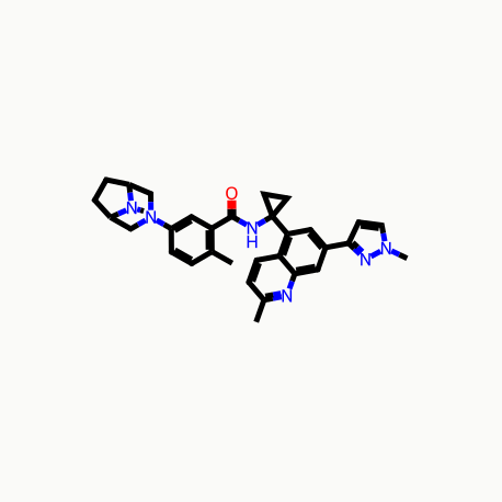 Cc1ccc2c(C3(NC(=O)c4cc(N5CC6CCC(C5)N6C)ccc4C)CC3)cc(-c3ccn(C)n3)cc2n1